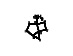 NC12CCC3CC31CC2